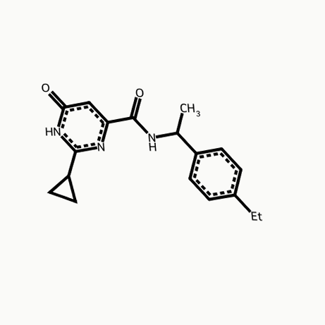 CCc1ccc(C(C)NC(=O)c2cc(=O)[nH]c(C3CC3)n2)cc1